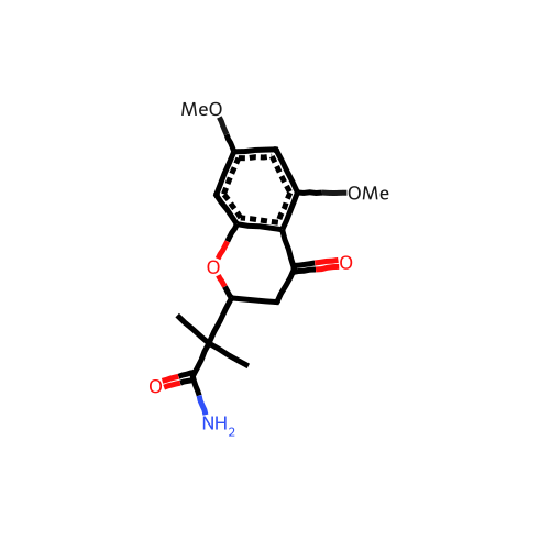 COc1cc(OC)c2c(c1)OC(C(C)(C)C(N)=O)CC2=O